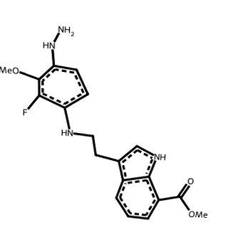 COC(=O)c1cccc2c(CCNc3ccc(NN)c(OC)c3F)c[nH]c12